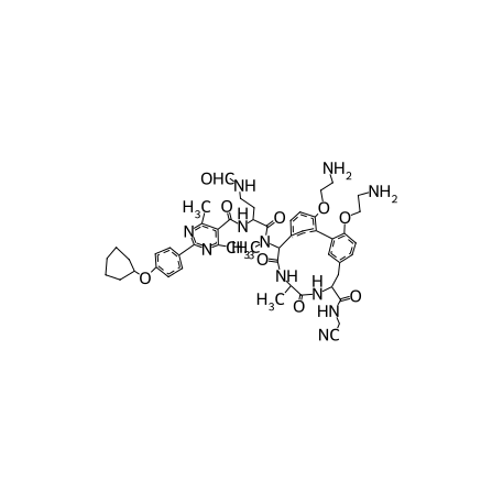 Cc1nc(-c2ccc(OC3CCCCC3)cc2)nc(C)c1C(=O)NC(CCNC=O)C(=O)N(C)C1C(=O)NC(C)C(=O)NC(C(=O)NCC#N)Cc2ccc(OCCN)c(c2)-c2cc1ccc2OCCN